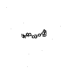 c1cnc2c(c1)cc(-c1ccc(-c3ccc4ccc(-c5ccc6ccc(-c7cnccn7)nc6c5)cc4n3)cc1)c1cccnc12